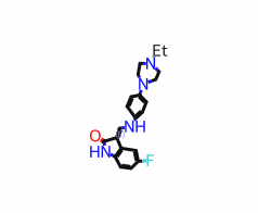 CCN1CCN(c2ccc(N/C=C3/C(=O)Nc4ccc(F)cc43)cc2)CC1